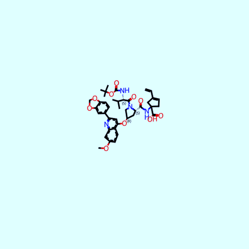 C=CC1=CCC(NC(=O)[C@@H]2C[C@@H](Oc3cc(-c4ccc5c(c4)OCO5)nc4cc(OC)ccc34)CN2C(=O)[C@@H](NC(=O)OC(C)(C)C)C(C)C)(C(=O)O)C1